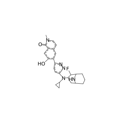 Cn1ccc2cc(-c3ccc(N(C4CC4)C4CC5CCCC(N5)C4F)nn3)c(O)cc2c1=O